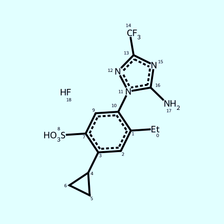 CCc1cc(C2CC2)c(S(=O)(=O)O)cc1-n1nc(C(F)(F)F)nc1N.F